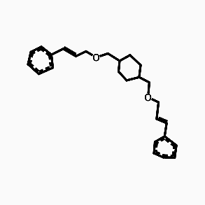 C(=C\c1ccccc1)/COCC1CCC(COC/C=C/c2ccccc2)CC1